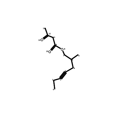 CCC#CCC(C)COC(=O)CC(C)=O